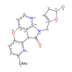 COc1ccc2c(n1)C1C(=O)N(CC3=CCC(Cl)O3)c3nccc(c31)O2